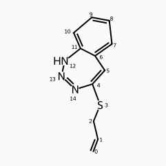 C=CCSC1=Cc2ccccc2NN=N1